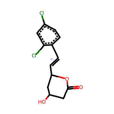 O=C1CC(O)CC(/C=C/c2ccc(Cl)cc2Cl)O1